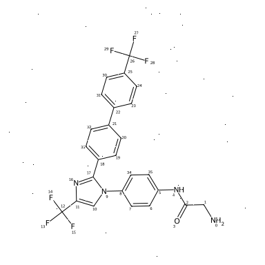 NCC(=O)Nc1ccc(-n2cc(C(F)(F)F)nc2-c2ccc(-c3ccc(C(F)(F)F)cc3)cc2)cc1